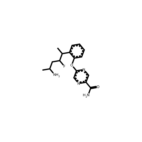 CC(N)CC(F)C(C)c1ccccc1Oc1cnc(C(N)=O)cn1